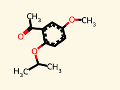 COc1ccc(OC(C)C)c(C(C)=O)c1